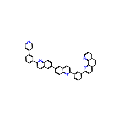 c1cc(-c2ccncc2)cc(-c2ccc3cc(-c4ccc5nc(-c6cccc(-c7ccc8ccc9cccnc9c8n7)c6)ccc5c4)ccc3n2)c1